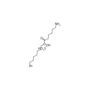 CC(C)CCCCCCCOC(=O)CCCCCN.O=S(=O)(O)O